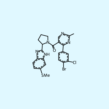 CSc1ccc2nc(C3CCCN3C(=O)c3cnc(C)nc3-c3ccc(Br)c(Cl)c3)[nH]c2c1